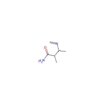 C=NC(C)C(C)C(N)=O